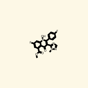 COC(=O)c1cc(F)cc2c1c(=O)c(-c1ncnn1C)c(-c1ccc(F)cc1)n2O